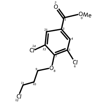 COC(=O)c1cc(Cl)c(OCCCCl)c(Cl)c1